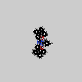 Cc1cc(C)c(-c2nc(-c3cccc4c3Oc3ccccc3[Si]4(c3ccccc3)c3ccccc3)nc(-c3cccc4c3Oc3ccccc3[Si]4(c3ccccc3)C3C=CC=CC3)n2)c(C)c1